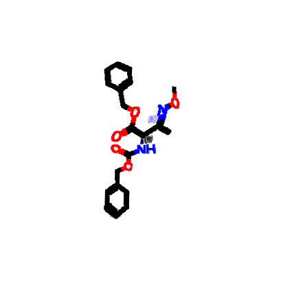 CO/N=C(\C)[C@H](NC(=O)OCc1ccccc1)C(=O)OCc1ccccc1